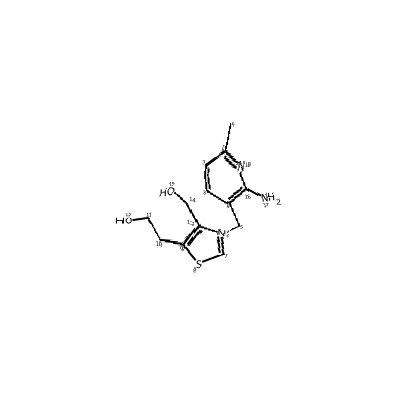 Cc1ccc(C[n+]2csc(CCO)c2CO)c(N)n1